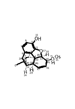 CN1CC[C@]23c4c5ccc(O)c4O[C@H]2[C@@H](O)C=C[C@H]3[C@H]1C5.[Os]